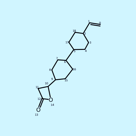 C=CC1CCC(C2CCC(C3CC(=O)O3)CC2)CC1